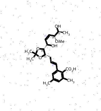 CO[C@H](/C=C\C(O)[C@H]1OC(C)(C)O[C@H]1C/C=C/c1cc(C)cc(C)c1C(=O)O)[C@H](C)O